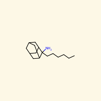 CCCCCCC1(N)C2CC3CC(C2)CC1C3